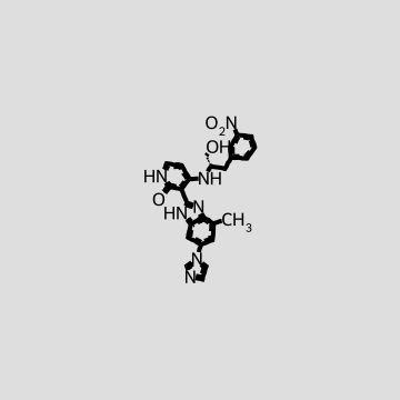 Cc1cc(-n2ccnc2)cc2[nH]c(-c3c(N[C@H](CO)Cc4cccc([N+](=O)[O-])c4)cc[nH]c3=O)nc12